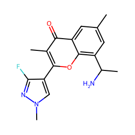 Cc1cc(C(C)N)c2oc(-c3cn(C)nc3F)c(C)c(=O)c2c1